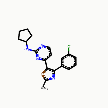 CNc1nc(-c2cccc(Cl)c2)c(-c2ccnc(NC3CCCC3)n2)s1